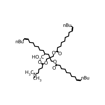 CCCC/C=C\CCCCCCCC(=O)OCC(COC(=O)CCCCCCC/C=C\CCCC)(COC(=O)CCCN(C)C)CC(CCCCCC/C=C\CCCC)C(=O)O